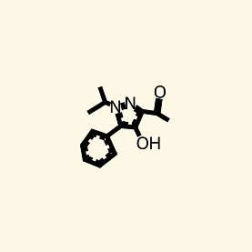 CC(=O)c1nn(C(C)C)c(-c2ccccc2)c1O